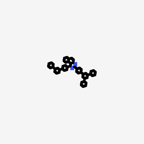 c1ccc(-c2cccc(-c3ccc(-c4nc(-c5ccc(-c6cc(-c7ccccc7)cc(-c7ccccc7)c6)cc5)nc5ccc6ccccc6c45)cc3)c2)cc1